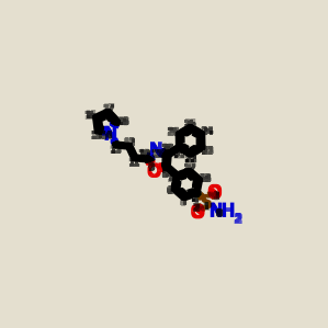 NS(=O)(=O)c1ccc(-c2oc(CCCn3cccc3)nc2-c2ccccc2)cc1